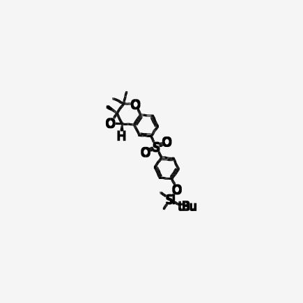 CC1(C)Oc2ccc(S(=O)(=O)c3ccc(O[Si](C)(C)C(C)(C)C)cc3)cc2[C@@H]2O[C@@]21C